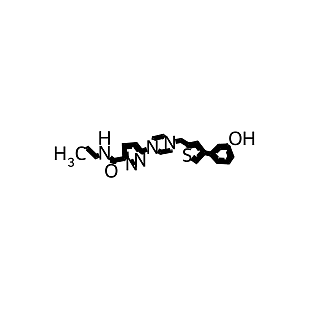 CCCNC(=O)c1ccc(N2CCN(Cc3cc(-c4cccc(O)c4)cs3)CC2)nn1